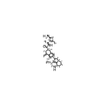 CC(C)C1CNc2cccc3cc(-c4nc5cc(C(=O)N[C@H](I)[C@H]6[C@H](I)C[C@@H]6N)cc(F)c5n4C)n1c23